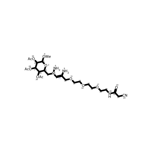 COC1OC(CN(N)/C=C(\N)COCCOCCOCCNC(=O)CC#N)C(OC(C)=O)C(OC(C)=O)C1OC(C)=O